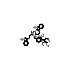 COc1ccc(Cn2c(CCc3c[nH]c4ccccc34)nnc2C(Cc2c[nH]c3ccccc23)NC(=O)Cc2ccncc2)cc1